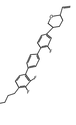 C=CC1CCC(c2ccc(-c3ccc(-c4ccc(CCCCC)c(F)c4F)cc3)c(F)c2)CO1